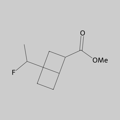 COC(=O)C1CC2(C(C)F)CCC12